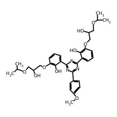 COc1ccc(-c2nc(-c3cccc(OCC(O)COC(C)C)c3O)nc(-c3cccc(OCC(O)COC(C)C)c3O)n2)cc1